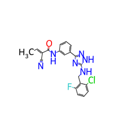 C/C=C(\C#N)C(=O)Nc1cccc(-c2n[nH]c(NCc3c(F)cccc3Cl)n2)c1